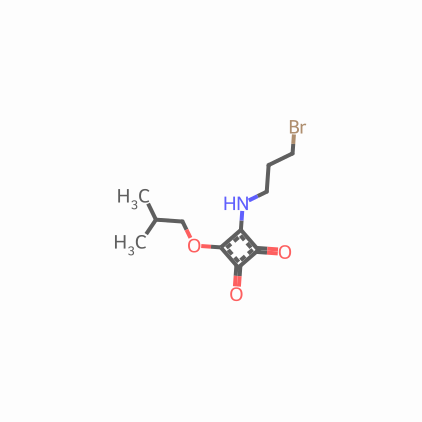 CC(C)COc1c(NCCCBr)c(=O)c1=O